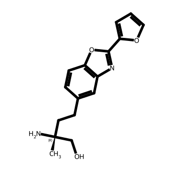 C[C@](N)(CO)CCc1ccc2oc(-c3ccco3)nc2c1